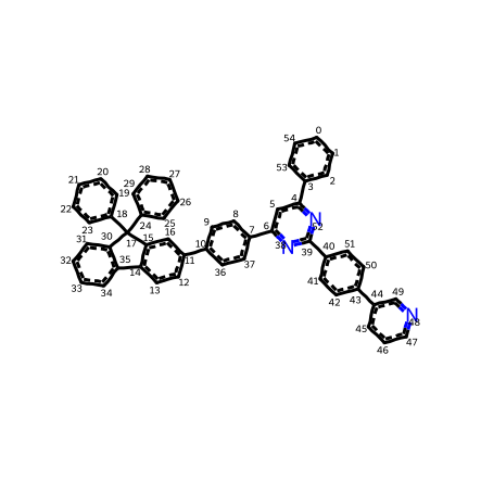 c1ccc(-c2cc(-c3ccc(-c4ccc5c(c4)C(c4ccccc4)(c4ccccc4)c4ccccc4-5)cc3)nc(-c3ccc(-c4cccnc4)cc3)n2)cc1